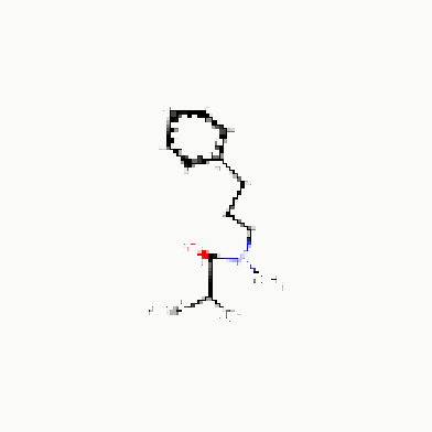 CC(=O)NC(C)C(=O)N(C)CCCc1ccccc1